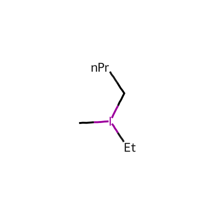 CCCCI(C)CC